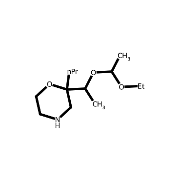 CCCC1(C(C)OC(C)OCC)CNCCO1